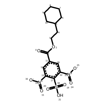 O=C(OCCC1CCCCC1)c1cc([N+](=O)[O-])c(S(=O)(=O)O)c([N+](=O)[O-])c1